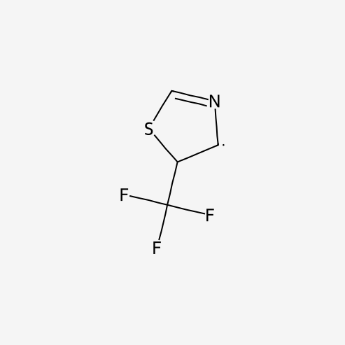 FC(F)(F)C1[CH]N=CS1